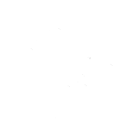 CN1CCC(=O)NCCCOc2ccc(CI)cc2Nc2ncc(C#N)c(n2)Nc2cccc(c2)C1